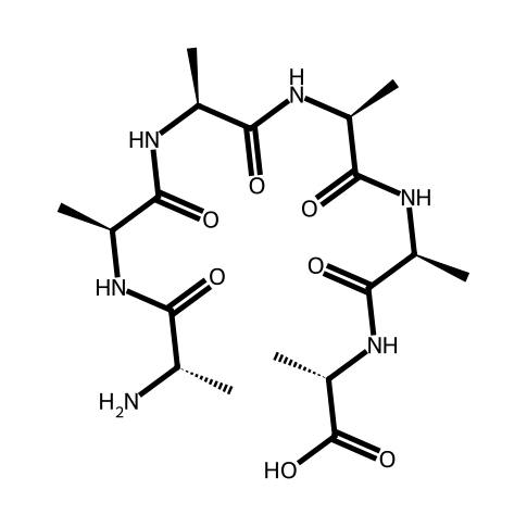 C[C@H](N)C(=O)N[C@@H](C)C(=O)N[C@@H](C)C(=O)N[C@@H](C)C(=O)N[C@@H](C)C(=O)N[C@@H](C)C(=O)O